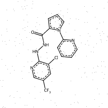 O=C(NNc1ncc(C(F)(F)F)cc1Cl)c1cccn1-c1ccccn1